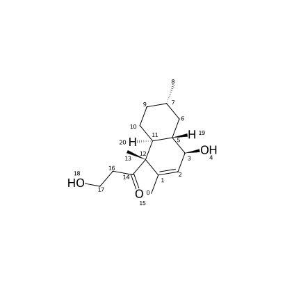 CC1=C[C@H](O)[C@H]2C[C@@H](C)CC[C@@H]2[C@@]1(C)C(=O)CCO